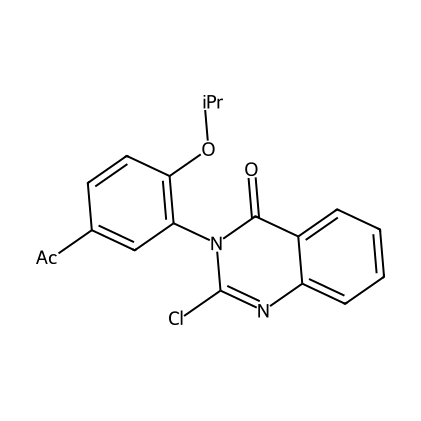 CC(=O)c1ccc(OC(C)C)c(-n2c(Cl)nc3ccccc3c2=O)c1